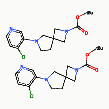 CC(C)(C)OC(=O)N1CC2(CCN(c3cnccc3Cl)C2)C1.CC(C)(C)OC(=O)N1CC2(CCN(c3cnccc3Cl)C2)C1